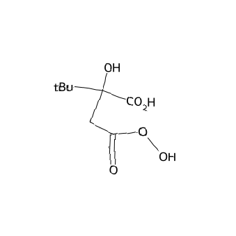 CC(C)(C)C(O)(CC(=O)OO)C(=O)O